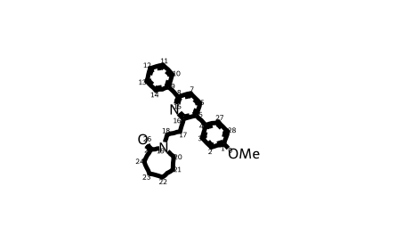 COc1ccc(-c2ccc(-c3ccccc3)nc2CCN2CCCCCC2=O)cc1